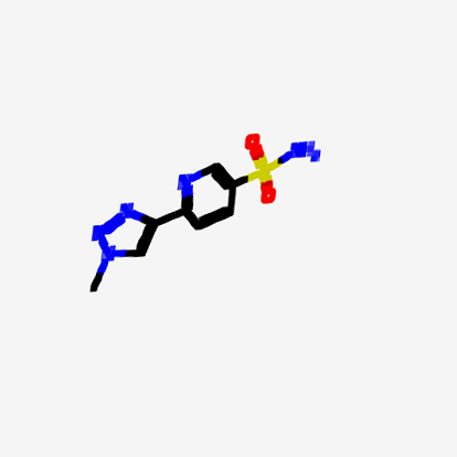 Cn1cc(-c2ccc(S(N)(=O)=O)cn2)nn1